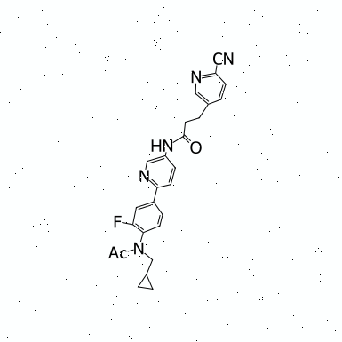 CC(=O)N(CC1CC1)c1ccc(-c2ccc(NC(=O)CCc3ccc(C#N)nc3)cn2)cc1F